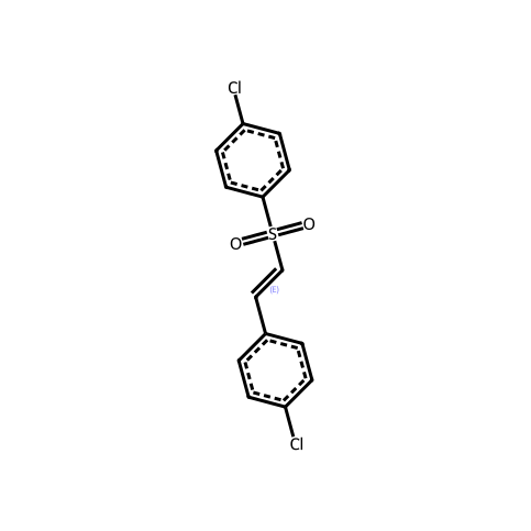 O=S(=O)(/C=C/c1ccc(Cl)cc1)c1ccc(Cl)cc1